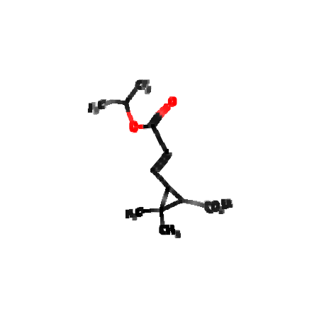 CCOC(=O)C1C(C=CC(=O)OC(C(F)(F)F)C(F)(F)F)C1(C)C